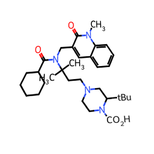 Cn1c(=O)c(CN(C(=O)C2CCCCC2)C(C)(C)CCN2CCN(C(=O)O)C(C(C)(C)C)C2)cc2ccccc21